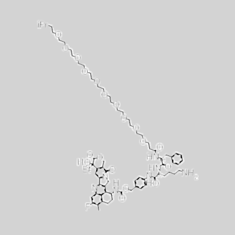 CC[C@@]1(O)C(=O)OCc2c1cc1n(c2=O)Cc2c-1nc1cc(F)c(C)c3c1c2[C@@H](NC(=O)OCc1ccc(NC(=O)[C@H](CCCCN)NC(=O)[C@H](Cc2ccccc2)NC(=O)CCOCCOCCOCCOCCOCCOCCOCCOCCOCCOCCC(C)C)cc1)CC3